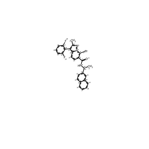 Cc1nn2c(C(C)C)c(C(=O)N[C@@H](C)c3ccc4ccccc4c3)ccc2c1-c1c(F)cccc1F